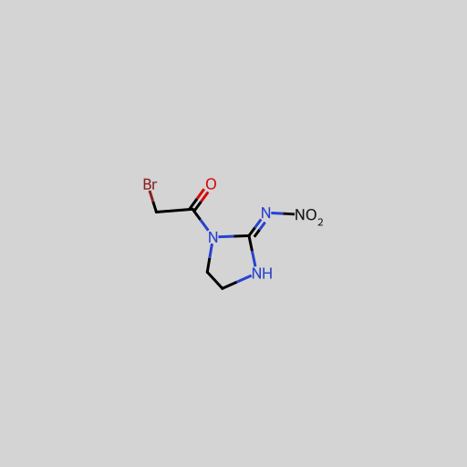 O=C(CBr)N1CCN/C1=N\[N+](=O)[O-]